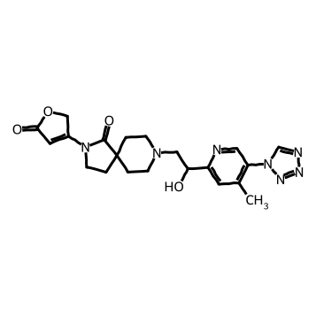 Cc1cc(C(O)CN2CCC3(CC2)CCN(C2=CC(=O)OC2)C3=O)ncc1-n1cnnn1